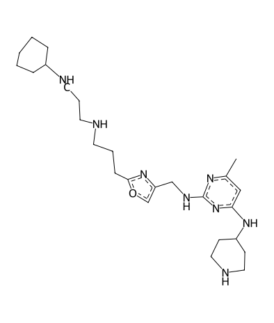 Cc1cc(NC2CCNCC2)nc(NCc2coc(CCCNCCCNC3CCCCC3)n2)n1